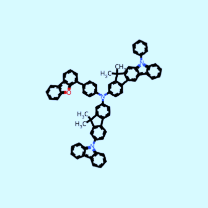 CC1(C)c2cc(N(c3ccc(-c4cccc5c4oc4ccccc45)cc3)c3ccc4c(c3)C(C)(C)c3cc5c(cc3-4)c3ccccc3n5-c3ccccc3)ccc2-c2ccc(-n3c4ccccc4c4ccccc43)cc21